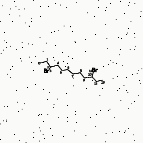 CCC(Br)CCCCCCC(Br)CC